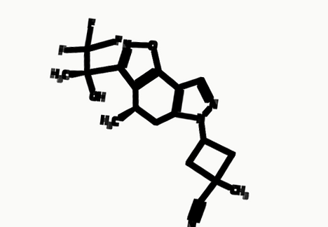 C[C@@H]1Cc2c(cnn2C2CC(C)(C#N)C2)-c2onc([C@](C)(O)C(F)(F)F)c21